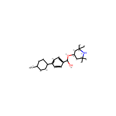 CCCC1CCC(c2ccc(C(O)OC3CC(C)(C)NC(C)(C)C3)cc2)CC1